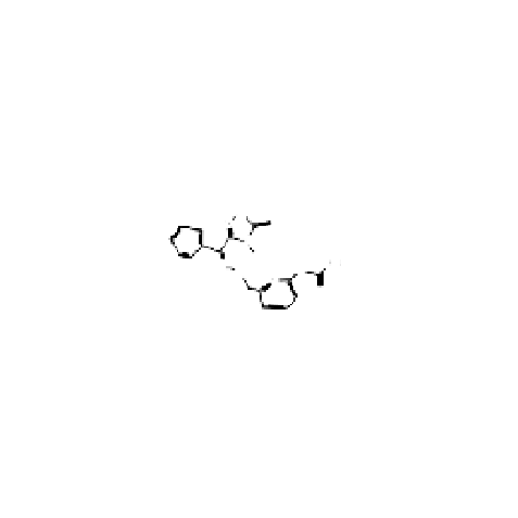 CC(C)COC(=O)Nc1cccc(CON=C(c2ccccc2)c2noc(=O)n2C)n1